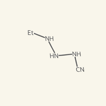 CCNNNC#N